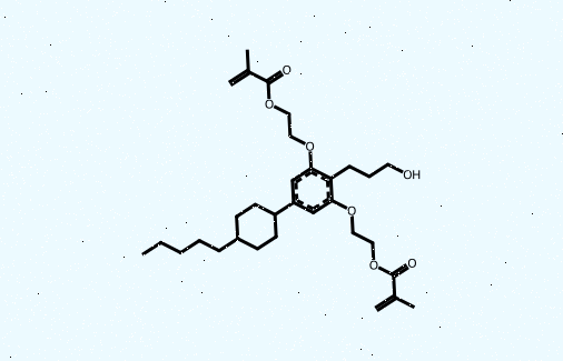 C=C(C)C(=O)OCCOc1cc(C2CCC(CCCCC)CC2)cc(OCCOC(=O)C(=C)C)c1CCCO